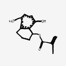 C=C(C)C(=O)OC1CCCc2c(O)ccc(O)c21